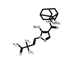 CC(=O)N[C@]12CC3CC(C1)[C@@H](NC(=O)c1cnn(/C=C/C(C)(C)C(N)=O)c1OCC(C)C)C(C3)C2